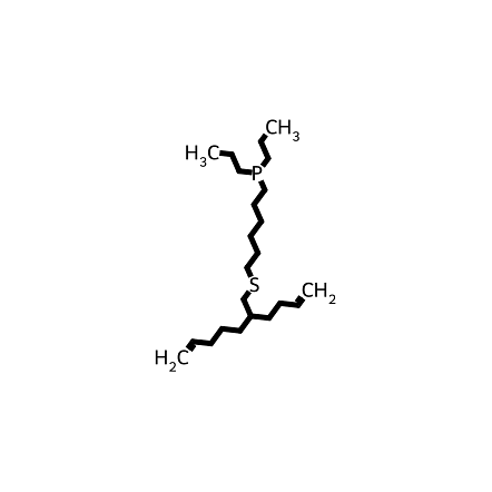 C=CCCCC(CCC=C)CSCCCCCCP(CCC)CCC